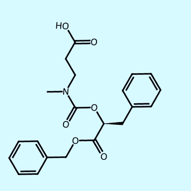 CN(CCC(=O)O)C(=O)O[C@@H](Cc1ccccc1)C(=O)OCc1ccccc1